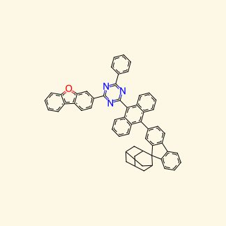 c1ccc(-c2nc(-c3ccc4c(c3)oc3ccccc34)nc(-c3c4ccccc4c(-c4ccc5c(c4)C4(c6ccccc6-5)C5CC6CC(C5)CC4C6)c4ccccc34)n2)cc1